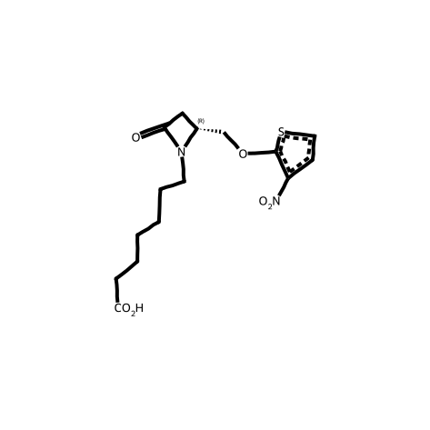 O=C(O)CCCCCCN1C(=O)C[C@@H]1COc1sccc1[N+](=O)[O-]